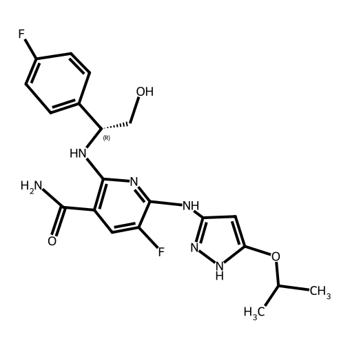 CC(C)Oc1cc(Nc2nc(N[C@@H](CO)c3ccc(F)cc3)c(C(N)=O)cc2F)n[nH]1